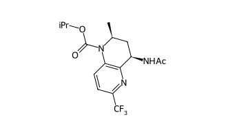 CC(=O)N[C@@H]1C[C@H](C)N(C(=O)OC(C)C)c2ccc(C(F)(F)F)nc21